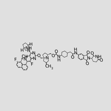 C#Cc1c(F)ccc2cccc(-c3ncc4c(N5C[C@H]6CC[C@@H](C5)N6)nc(OC[C@@]56CC[C@@H](COC(=O)NC7CCC(CC(=O)Nc8ccc9c(c8)C(=O)N(C8CCC(=O)NC8=O)C9=O)CC7)N5CC(=C)C6)nc4c3F)c12